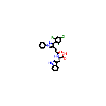 O=C(C=Cc1cn(-c2ccccc2)nc1-c1c(F)cc(Cl)cc1F)N[C@@H](Cc1c[nH]c2ccccc12)C(=O)O